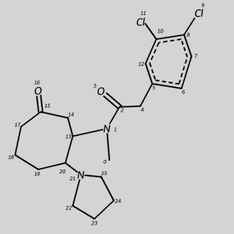 CN(C(=O)Cc1ccc(Cl)c(Cl)c1)C1CC(=O)CCCC1N1CCCC1